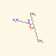 CCCCCCCC(=O)CC(CCCCC)C(=O)NCCCCCN